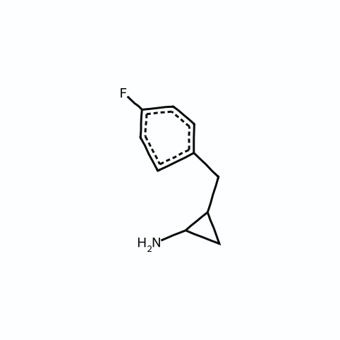 NC1CC1Cc1ccc(F)cc1